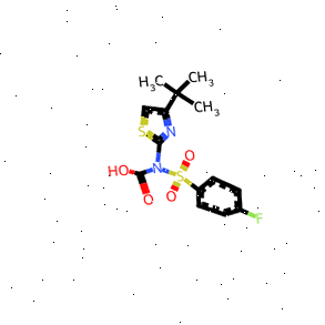 CC(C)(C)c1csc(N(C(=O)O)S(=O)(=O)c2ccc(F)cc2)n1